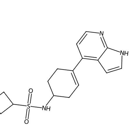 O=S(=O)(NC1CC=C(c2ccnc3[nH]ccc23)CC1)C1CCC1